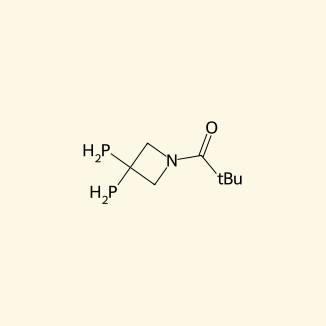 CC(C)(C)C(=O)N1CC(P)(P)C1